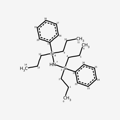 CCC[Si](CCC)(N[Si](CCC)(CCC)c1ccccc1)c1ccccc1